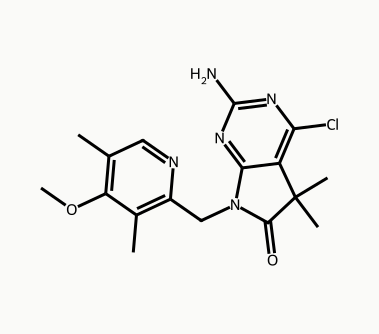 COc1c(C)cnc(CN2C(=O)C(C)(C)c3c(Cl)nc(N)nc32)c1C